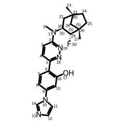 CN(c1ccc(-c2ccc(-n3ccnc3)cc2O)nn1)[C@H]1C[C@]2(C)CC[C@@](C)(C2)[C@@H]1F